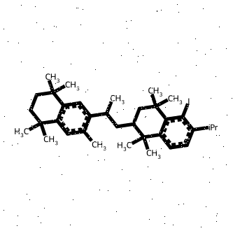 Cc1cc2c(cc1C(C)CC1CC(C)(C)c3c(ccc(C(C)C)c3I)C1(C)C)C(C)(C)CCC2(C)C